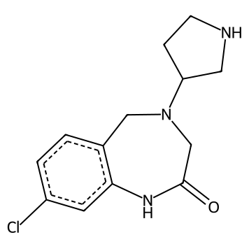 O=C1CN(C2CCNC2)Cc2ccc(Cl)cc2N1